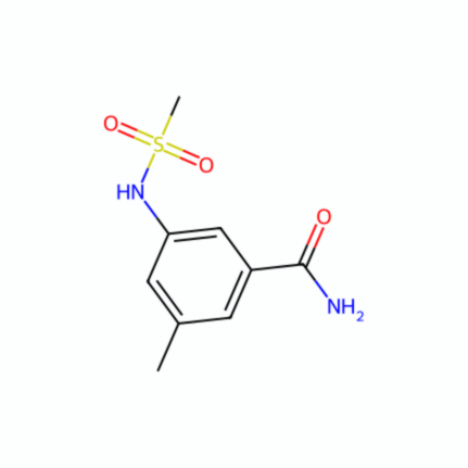 Cc1cc(NS(C)(=O)=O)cc(C(N)=O)c1